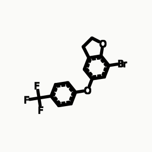 FC(F)(F)c1ccc(Oc2cc(Br)c3c(c2)CCO3)cc1